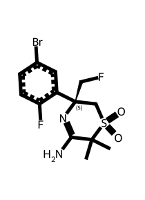 CC1(C)C(N)=N[C@](CF)(c2cc(Br)ccc2F)CS1(=O)=O